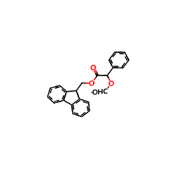 O=[C]OC(C(=O)OCC1c2ccccc2-c2ccccc21)c1ccccc1